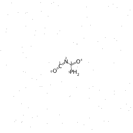 O=C=NC(=O)P